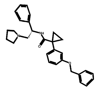 O=C(N[C@H](CN1CCCC1)c1ccccc1)C1(c2cccc(OCc3ccccc3)c2)CC1